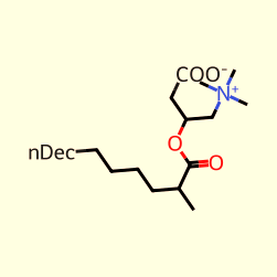 CCCCCCCCCCCCCCC(C)C(=O)OC(CC(=O)[O-])C[N+](C)(C)C